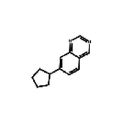 c1ncc2ccc(C3CCCC3)cc2n1